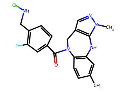 Cc1ccc2c(c1)Nc1c(cnn1C)CN2C(=O)c1ccc(CNCl)c(F)c1